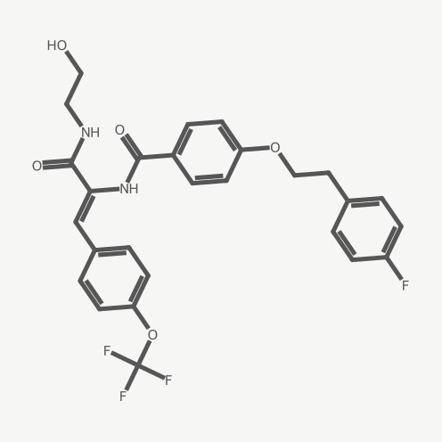 O=C(NCCO)C(=Cc1ccc(OC(F)(F)F)cc1)NC(=O)c1ccc(OCCc2ccc(F)cc2)cc1